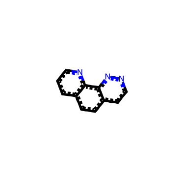 c1cnc2c(c1)ccc1ccnnc12